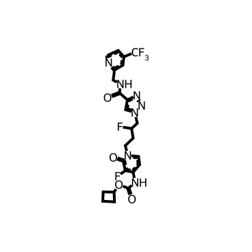 O=C(Nc1ccn(CCC(F)Cn2cc(C(=O)NCc3cc(C(F)(F)F)ccn3)nn2)c(=O)c1F)OC1CCC1